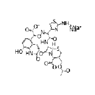 CC(=O)OCC1=C(C(=O)[O-])N2C(=O)[C@H](NC(=O)/C(=N\OC(C(=O)[O-])c3ccc(O)c4[nH]c(=O)ccc34)c3csc(N)n3)[C@H]2SC1.[Na+].[Na+]